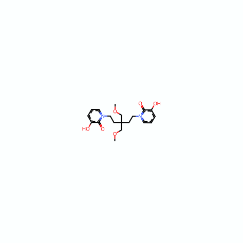 COCC(CCn1cccc(O)c1=O)(CCn1cccc(O)c1=O)COC